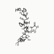 CC(C)(C)NS(=O)(=O)c1ccc(-c2cc(C(=O)NCCC(C)(C)C(=O)O)nn2CC2CCCCC2)cc1C(C)(C)C